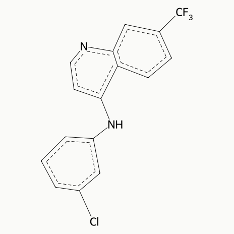 FC(F)(F)c1ccc2c(Nc3cccc(Cl)c3)ccnc2c1